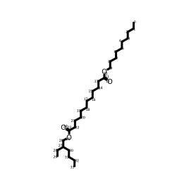 CCCCCCCCCCOC(=O)CCCCCCCCCCC(=O)OCC(CC)CCCC